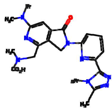 CCCn1c(C)nnc1-c1cccc(N2Cc3c(cc(N(C)C(C)C)nc3CN(C)C(=O)O)C2=O)n1